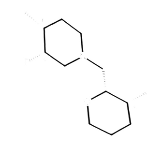 C[C@@H]1CCN(C[C@H]2OCCC[C@H]2C)C[C@@H]1F